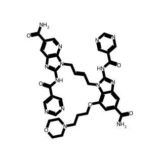 NC(=O)c1cnc2c(c1)nc(NC(=O)c1cncnc1)n2CC=CCn1c(NC(=O)c2cncnc2)nc2cc(C(N)=O)cc(OCCCN3CCOCC3)c21